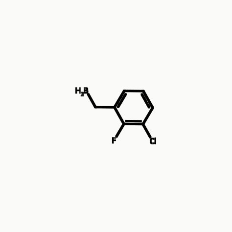 BCc1cccc(Cl)c1F